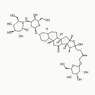 C=C(CCC1(O)O[C@H]2C[C@H]3[C@@H]4CC[C@@H]5C[C@@H](O[C@@H]6O[C@H](CO)[C@H](O)[C@H](O)[C@H]6O[C@@H]6O[C@H](CO)[C@@H](O)[C@H](O)[C@H]6O)CC[C@]5(C)[C@H]4CC(=O)[C@]3(C)[C@H]2[C@@H]1C)CO[C@@H]1O[C@H](CO)[C@@H](O)[C@H](O)[C@H]1O